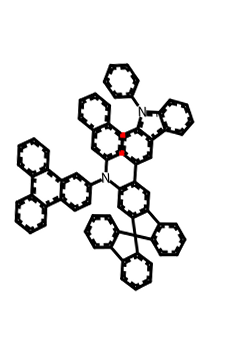 c1ccc(-n2c3ccccc3c3cc(-c4cc5c(cc4N(c4ccc6ccccc6c4)c4ccc6c7ccccc7c7ccccc7c6c4)C4(c6ccccc6-c6ccccc64)c4ccccc4-5)ccc32)cc1